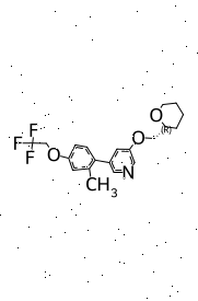 Cc1cc(OCC(F)(F)F)ccc1-c1cncc(OC[C@H]2CCCCO2)c1